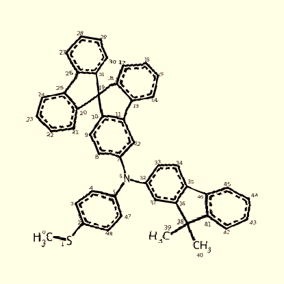 CSc1ccc(N(c2ccc3c(c2)-c2ccccc2C32c3ccccc3-c3ccccc32)c2ccc3c(c2)C(C)(C)c2ccccc2-3)cc1